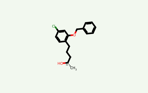 C[C@H](O)[CH]CCc1ccc(Cl)cc1OCc1ccccc1